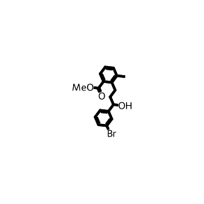 COC(=O)c1cccc(C)c1CCC(O)c1cccc(Br)c1